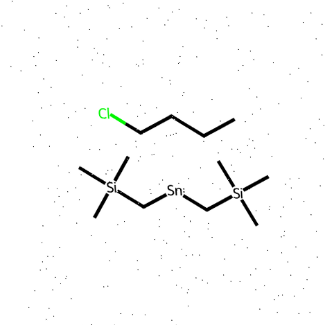 CCCCCl.C[Si](C)(C)[CH2][Sn][CH2][Si](C)(C)C